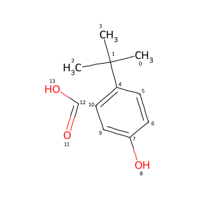 CC(C)(C)c1ccc(O)cc1.O=CO